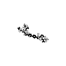 COC(=O)NC(C(=O)N1CCCC1c1ncc(-c2ccc(-c3ccc(-c4cnc(C5CN(C(=O)OC(C)(C)C)CN5C(=O)C(NC(=O)OC)C(C)C)[nH]4)cc3)cc2)[nH]1)C(C)C